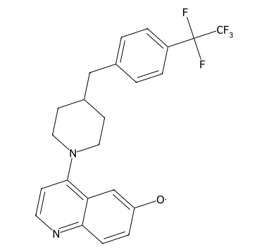 [O]c1ccc2nccc(N3CCC(Cc4ccc(C(F)(F)C(F)(F)F)cc4)CC3)c2c1